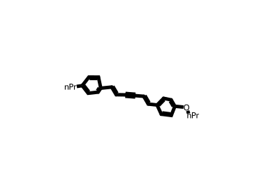 CCCOc1ccc(C=CC#CC=Cc2ccc(CCC)cc2)cc1